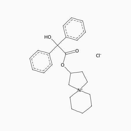 O=C(OC1CC[N+]2(CCCCC2)C1)C(O)(c1ccccc1)c1ccccc1.[Cl-]